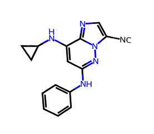 [C-]#[N+]c1cnc2c(NC3CC3)cc(Nc3ccccc3)nn12